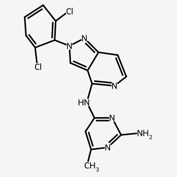 Cc1cc(Nc2nccc3nn(-c4c(Cl)cccc4Cl)cc23)nc(N)n1